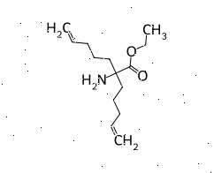 C=CCCCC(N)(CCCC=C)C(=O)OCC